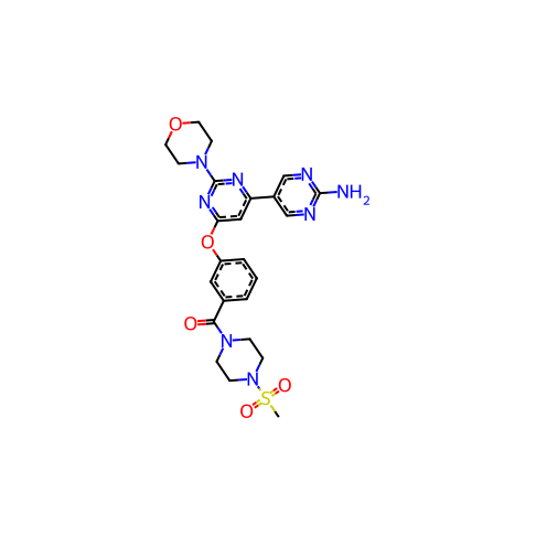 CS(=O)(=O)N1CCN(C(=O)c2cccc(Oc3cc(-c4cnc(N)nc4)nc(N4CCOCC4)n3)c2)CC1